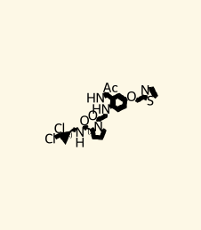 CC(=O)C(=N)c1cc(OCc2nccs2)ccc1NCC(=O)N1CCC[C@H]1C(=O)NC[C@H]1CC1(Cl)Cl